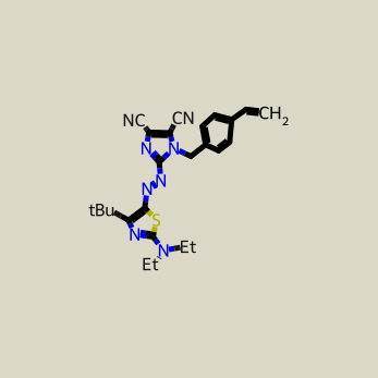 C=Cc1ccc(Cn2c(/N=N/c3sc(N(CC)CC)nc3C(C)(C)C)nc(C#N)c2C#N)cc1